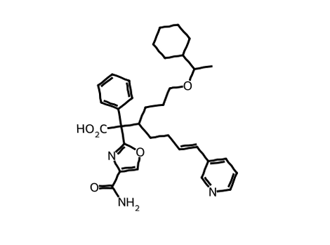 CC(OCCCC(CCC=Cc1cccnc1)C(C(=O)O)(c1ccccc1)c1nc(C(N)=O)co1)C1CCCCC1